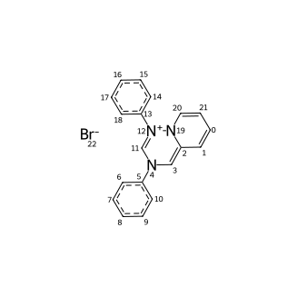 C1=CC2=CN(c3ccccc3)C=[N+](c3ccccc3)N2C=C1.[Br-]